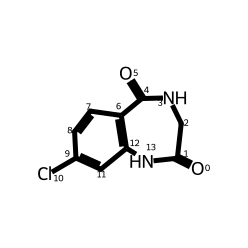 O=C1CNC(=O)c2ccc(Cl)cc2N1